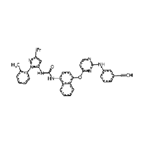 C#Cc1cccc(Nc2nccc(Oc3ccc(NC(=O)Nc4cc(C(C)C)nn4-c4ccccc4C)c4ccccc34)n2)c1